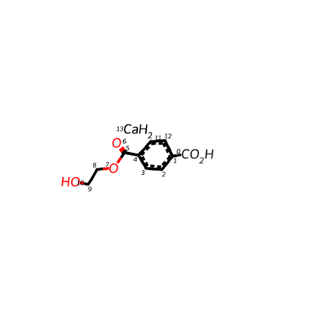 O=C(O)c1ccc(C(=O)OCCO)cc1.[CaH2]